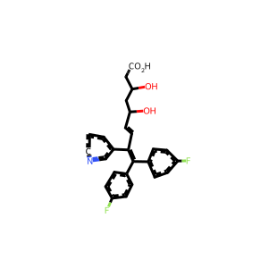 O=C(O)CC(O)CC(O)/C=C/C(=C(c1ccc(F)cc1)c1ccc(F)cc1)c1cccnc1